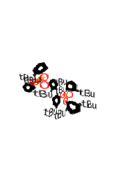 CC(C)(C)c1ccc(C(C)(C)C)c(OP(Oc2cc(C(C)(C)C)ccc2C(C)(C)C)Oc2cc(C(C)(C)C)ccc2C(C)(C)C)c1.CC(C)(C)c1ccccc1OP(Oc1ccccc1C(C)(C)C)Oc1ccccc1C(C)(C)C